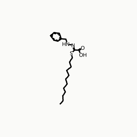 CCCCCCCCCCCCSC(=NNCc1ccccc1)C(=O)O